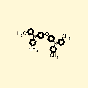 Cc1ccc(N(c2ccc(Oc3ccc(N(c4ccc(C)cc4)c4cccc(C)c4)cc3)cc2)c2cccc(C)c2)cc1